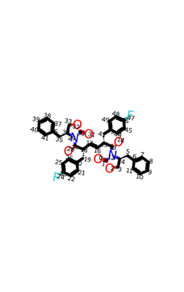 O=C1OC[C@H](Cc2ccccc2)N1C(=O)[C@H](/C=C/[C@H](Cc1ccc(F)cc1)C(=O)N1C(=O)OC[C@@H]1Cc1ccccc1)Cc1ccc(F)cc1